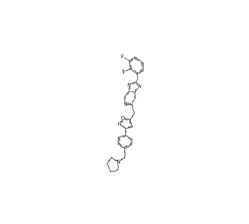 Fc1cccc(-c2nc3cnn(Cc4cc(-c5ccc(CN6CCCC6)cc5)no4)cc-3n2)c1F